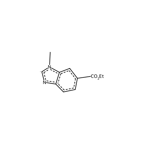 CCOC(=O)c1ccc2n[c]n(C)c2c1